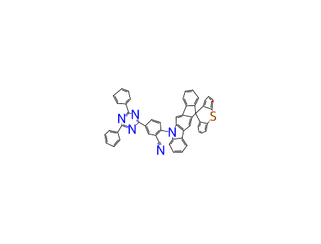 N#Cc1cc(-c2nc(-c3ccccc3)nc(-c3ccccc3)n2)ccc1-n1c2ccccc2c2cc3c(cc21)-c1ccccc1C31c2ccccc2Sc2ccccc21